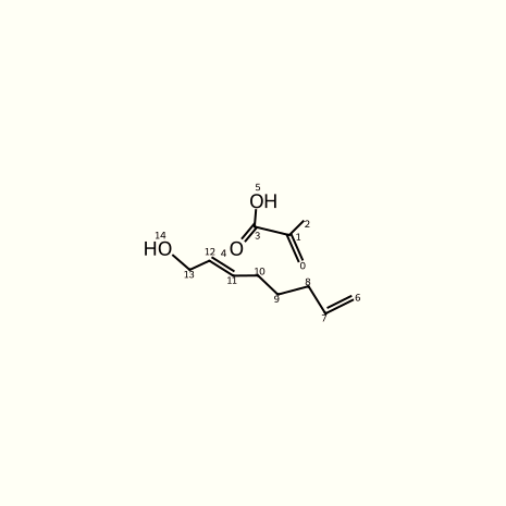 C=C(C)C(=O)O.C=CCCCC=CCO